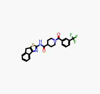 O=C(Nc1nc2c(s1)Cc1ccccc1-2)C1CCN(C(=O)c2cccc(C(F)(F)F)c2)CC1